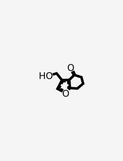 O=C1CCCc2occ(CO)c21